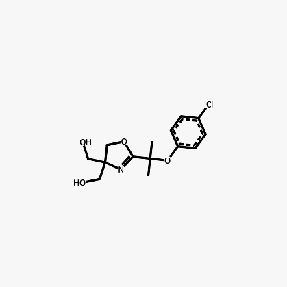 CC(C)(Oc1ccc(Cl)cc1)C1=NC(CO)(CO)CO1